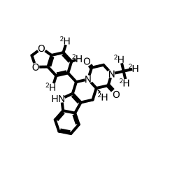 [2H]c1c([2H])c(C2c3[nH]c4ccccc4c3C[C@]3([2H])C(=O)N(C([2H])([2H])[2H])CC(=O)N23)c([2H])c2c1OCO2